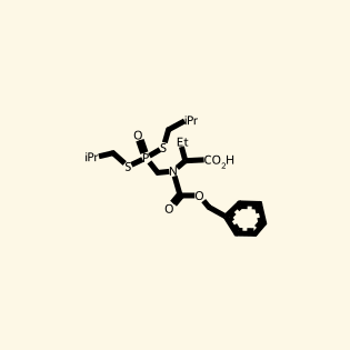 CCC(C(=O)O)N(CP(=O)(SCC(C)C)SCC(C)C)C(=O)OCc1ccccc1